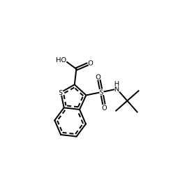 CC(C)(C)NS(=O)(=O)c1c(C(=O)O)sc2ccccc12